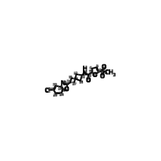 CS(=O)(=O)c1ccc(C(=O)NC2CC3(C2)CC(c2nc4cc(Cl)ccc4o2)C3)o1